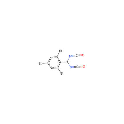 CCc1cc(CC)c(C(N=C=O)N=C=O)c(CC)c1